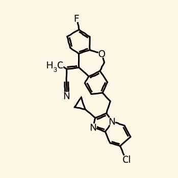 CC(C#N)=C1c2ccc(Cc3c(C4CC4)nc4cc(Cl)ccn34)cc2COc2cc(F)ccc21